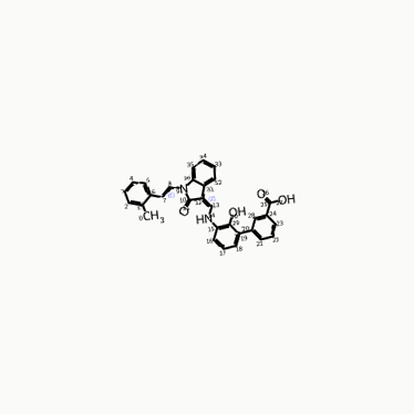 Cc1ccccc1/C=C/N1C(=O)/C(=C\Nc2cccc(-c3cccc(C(=O)O)c3)c2O)c2ccccc21